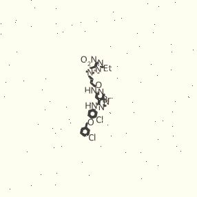 CCc1nc([N+](=O)[O-])c(C[N+](C)(C)C/C=C/C(=O)Nc2cc3c(Nc4ccc(OCc5cccc(Cl)c5)c(Cl)c4)ncnc3cn2)n1C.[Br-]